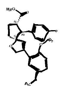 COC(=O)[C@H]1CC[C@@]2(C=C(c3cc(CC(C)=O)ccc3OC(C)C)CO2)[C@@H]1c1ccc(F)cc1